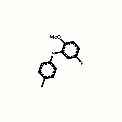 COc1ccc(F)cc1Sc1ccc(C)cc1